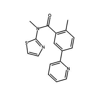 Cc1ccc(-c2ccccn2)cc1C(=O)N(C)c1nccs1